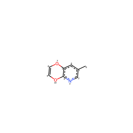 Cc1cnc2c(c1)OC=CO2